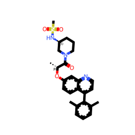 Cc1cccc(C)c1-c1ccnc2cc(O[C@H](C)C(=O)N3CCC[C@H](NS(C)(=O)=O)C3)ccc12